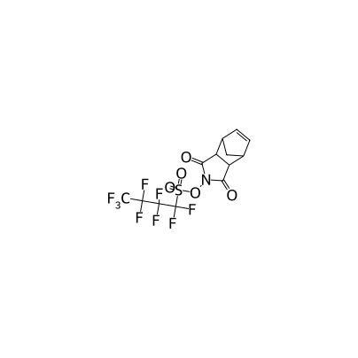 O=C1C2C3C=CC(C3)C2C(=O)N1OS(=O)(=O)C(F)(F)C(F)(F)C(F)(F)C(F)(F)F